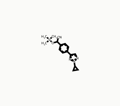 C[Si](C)(C)OC(C#N)c1ccc(-c2cnn(C3CC3)n2)cc1